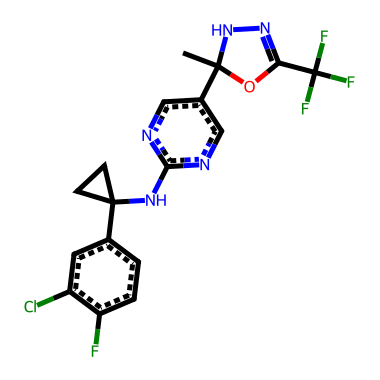 CC1(c2cnc(NC3(c4ccc(F)c(Cl)c4)CC3)nc2)NN=C(C(F)(F)F)O1